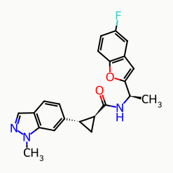 C[C@@H](NC(=O)[C@H]1C[C@@H]1c1ccc2cnn(C)c2c1)c1cc2cc(F)ccc2o1